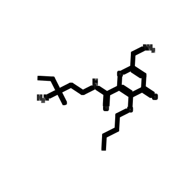 CCCCOc1c(C(=O)NCCC(C)(N)CC)oc(CN)cc1=O